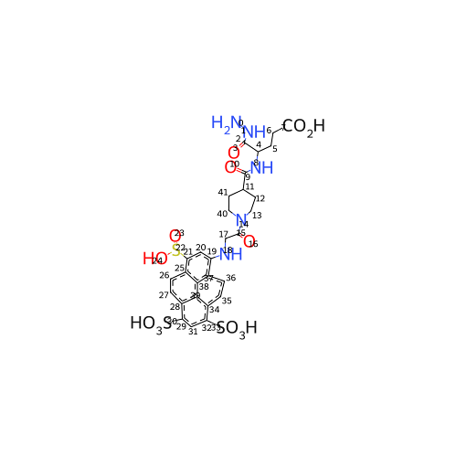 NNC(=O)C(CCC(=O)O)NC(=O)C1CCN(C(=O)CNc2cc(S(=O)O)c3ccc4c(S(=O)(=O)O)cc(S(=O)(=O)O)c5ccc2c3c54)CC1